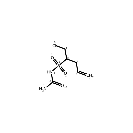 C=CCC(CCl)S(=O)(=O)NC(N)=O